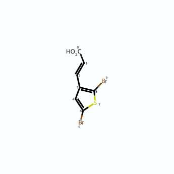 O=C(O)/C=C/c1cc(Br)sc1Br